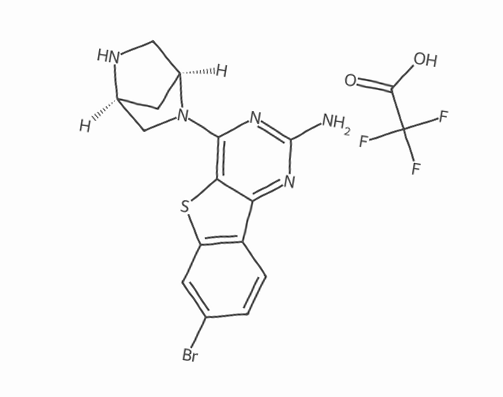 Nc1nc(N2C[C@@H]3C[C@H]2CN3)c2sc3cc(Br)ccc3c2n1.O=C(O)C(F)(F)F